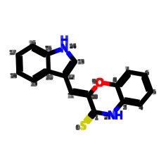 S=C1Nc2ccccc2OC1=Cc1c[nH]c2ccccc12